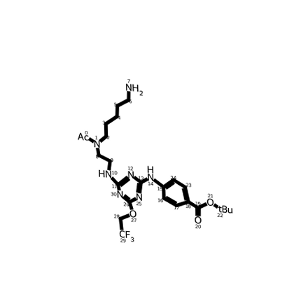 CC(=O)N(CCCCCN)CCNc1nc(Nc2ccc(C(=O)OC(C)(C)C)cc2)nc(OCC(F)(F)F)n1